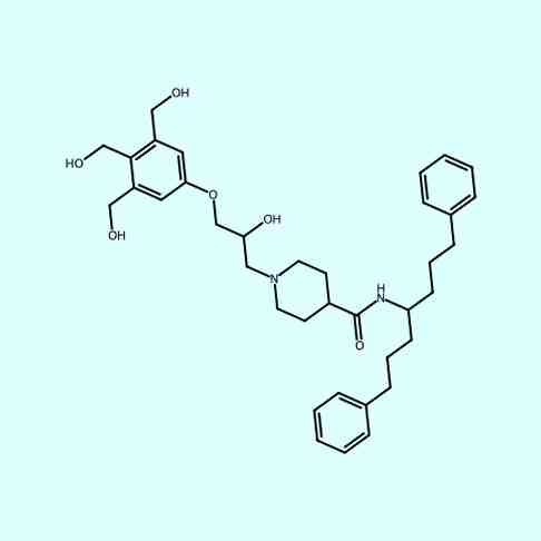 O=C(NC(CCCc1ccccc1)CCCc1ccccc1)C1CCN(CC(O)COc2cc(CO)c(CO)c(CO)c2)CC1